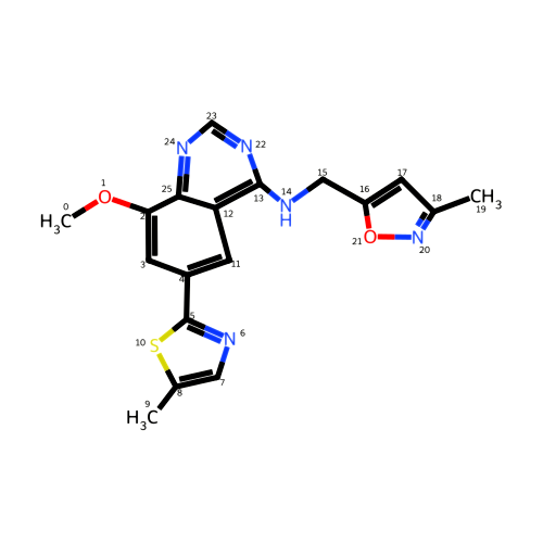 COc1cc(-c2ncc(C)s2)cc2c(NCc3cc(C)no3)ncnc12